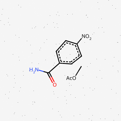 COC(C)=O.NC(=O)c1ccc([N+](=O)[O-])cc1